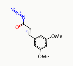 COc1cc(/C=C/C(=O)N=[N+]=[N-])cc(OC)c1